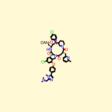 COC[C@@H]1NC(=O)[C@H](C)N(Cc2c(F)cc(Cl)cc2Oc2ccc(-c3cnc(CN(C)C)n3C)cc2)C(=O)C[C@@H](Cc2cccc(C)n2)C(=O)N2CCC[C@@](Cc3ccc(Cl)cc3)(C2)NC1=O